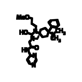 COCCCN1C(O)N(CC(=O)Nc2ccncn2)C[C@]12CC[C@](c1ccccc1)(N(C)C)CC2